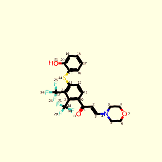 O=C(C=CN1CCOCC1)c1ccc(Sc2ccccc2O)c(C(F)(F)F)c1C(F)(F)F